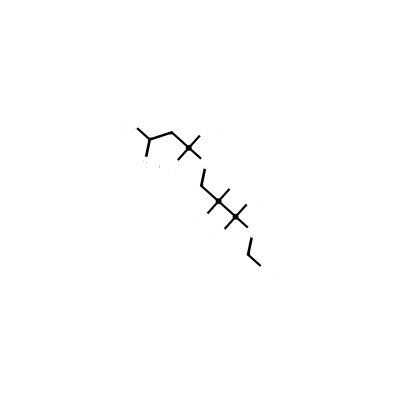 CCOC(C)(C)C(C)(C)COC(C)(C)CC(C)N